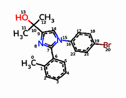 Cc1ccccc1-c1nc(C(C)(C)O)cn1-c1ccc(Br)cc1